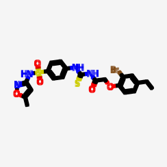 CCc1ccc(OCC(=O)NC(=S)Nc2ccc(S(=O)(=O)Nc3cc(C)on3)cc2)c(Br)c1